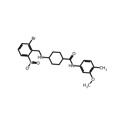 COc1cc(NC(=O)C2CCC(NCc3c(Br)cccc3[N+](=O)[O-])CC2)ccc1C